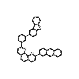 c1cc(-c2ccc3sc4ccccc4c3c2)cc(-c2ccc3ccc4ccc(-c5ccc6cc7ccccc7cc6c5)nc4c3n2)c1